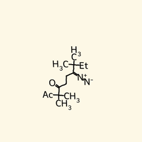 CCC(C)(C)C(CCC(=O)C(C)(C)C(C)=O)=[N+]=[N-]